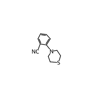 N#Cc1ccccc1N1CCSCC1